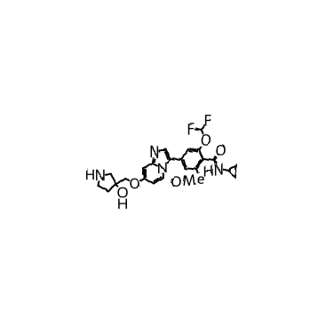 COc1cc(-c2cnc3cc(OCC4(O)CCNC4)ccn23)cc(OC(F)F)c1C(=O)NC1CC1